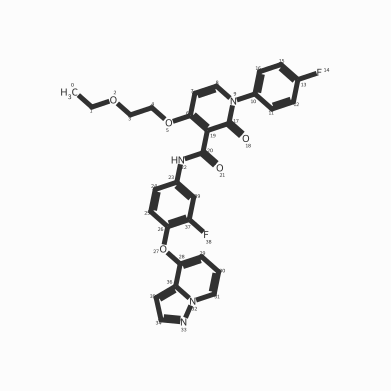 CCOCCOc1ccn(-c2ccc(F)cc2)c(=O)c1C(=O)Nc1ccc(Oc2cccn3nccc23)c(F)c1